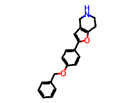 c1ccc(COc2ccc(-c3cc4c(o3)CCNC4)cc2)cc1